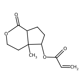 C=CC(=O)OC1CCC2C(=O)OCCC12C